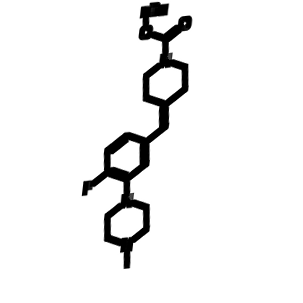 CCCCOC(=O)N1CCC(=Cc2ccc(F)c(N3CCN(C)CC3)c2)CC1